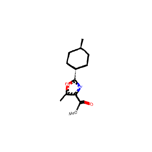 COC(=O)c1nc([C@H]2CC[C@H](C)CC2)oc1C